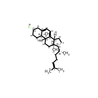 CC(C)=CCC[C@@H](C)[C@H]1CC[C@H]2C3=CC=C4C[C@@H](F)CC[C@]4(C)[C@H]3CC[C@]12C